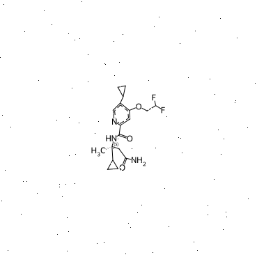 C[C@@](CC(N)=O)(NC(=O)c1cc(OCC(F)F)c(C2CC2)cn1)C1CC1